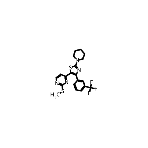 CSc1nccc(-c2sc(N3CCCCC3)nc2-c2cccc(C(F)(F)F)c2)n1